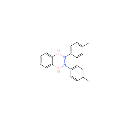 Cc1ccc(N2Bc3ccccc3BN2c2ccc(C)cc2)cc1